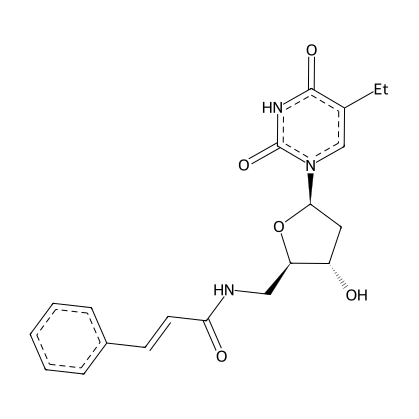 CCc1cn([C@H]2C[C@H](O)[C@@H](CNC(=O)C=Cc3ccccc3)O2)c(=O)[nH]c1=O